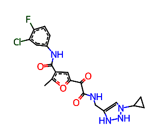 Cc1oc(C(=O)C(=O)NCC2=CN(C3CC3)NN2)cc1C(=O)Nc1ccc(F)c(Cl)c1